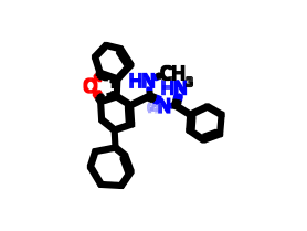 CN/C(=N\C(=N)C1=CC=CCC1)C1=CC(C2C=CCCCC2)Cc2oc3c(c21)C=CCC3